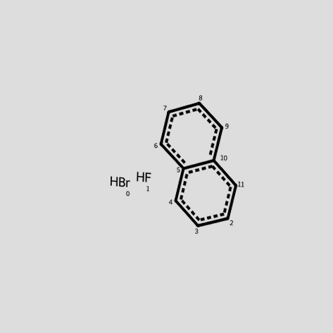 Br.F.c1ccc2ccccc2c1